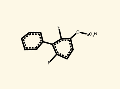 O=S(=O)(O)Oc1ccc(F)c(-c2ccccc2)c1F